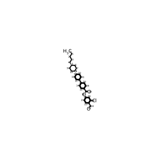 CCCCC[C@H]1CC[C@H](c2ccc(-c3ccc(C(=O)Oc4ccc(C=O)c(Cl)c4)cc3)cc2)CC1